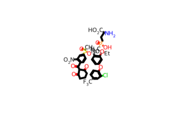 CCOc1cc(Oc2ccc(C(F)(F)F)cc2Cl)ccc1[N+](=O)[O-].CP(=O)(O)CCC(N)C(=O)O.CS(=O)(=O)c1ccc(C(=O)C2C(=O)CCCC2=O)c([N+](=O)[O-])c1